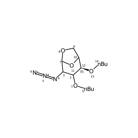 CCCCOC1C(N=[N+]=[N-])C2OCC(O2)[C@H]1OCCCC